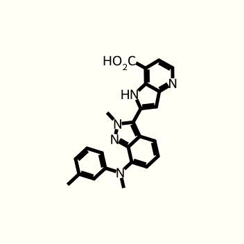 Cc1cccc(N(C)c2cccc3c(-c4cc5nccc(C(=O)O)c5[nH]4)n(C)nc23)c1